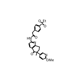 CCS(=O)(=O)c1ccc(CC(=O)Nc2ccc3c(n2)CCC(C)(c2ccc(OC)nc2)C3=O)cc1